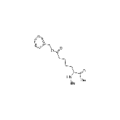 CCC(C)NC(CCCCC(=O)OCc1ccccc1)C(=O)C(C)CC